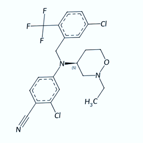 CCN1C[C@@H](N(Cc2cc(Cl)ccc2C(F)(F)F)c2ccc(C#N)c(Cl)c2)CCO1